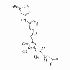 CCCN(C)CC(=O)Nc1cccc(NC=c2sc(=C(C#N)C(=O)NCC(F)F)n(CC)c2=O)c1